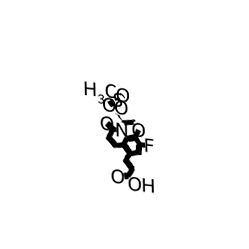 CS(=O)(=O)OC[C@@H]1COc2c(F)cc(/C=C/C(=O)O)c3ccc(=O)n1c23